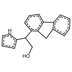 OCC(c1ccc[nH]1)c1cccc2c1Cc1ccccc1-2